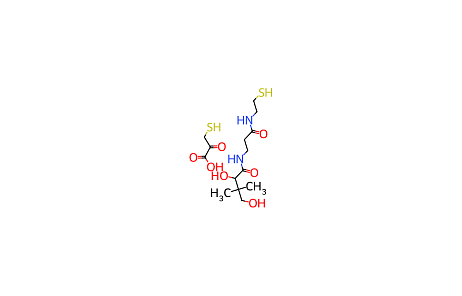 CC(C)(CO)C(O)C(=O)NCCC(=O)NCCS.O=C(O)C(=O)CS